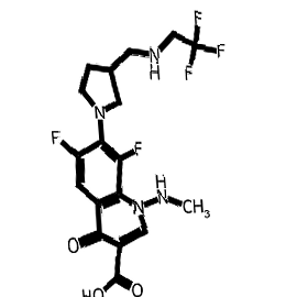 CNn1cc(C(=O)O)c(=O)c2cc(F)c(N3CCC(CNCC(F)(F)F)C3)c(F)c21